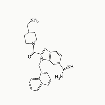 N=C(N)c1ccc2cc(C(=O)N3CCC(CN)CC3)n(Cc3cccc4ccccc34)c2c1